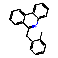 Cc1ccccc1Cc1nc2ccccc2c2ccccc12